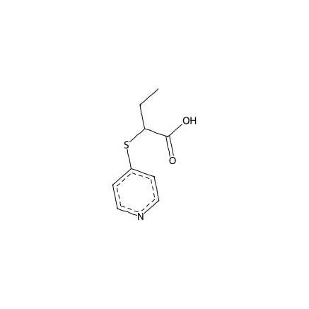 CCC(Sc1ccncc1)C(=O)O